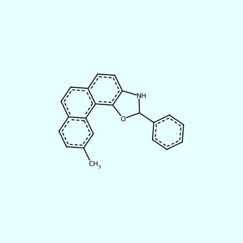 Cc1ccc2ccc3ccc4c(c3c2c1)OC(c1ccccc1)N4